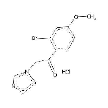 COc1ccc(C(=O)Cn2ccnc2)c(Br)c1.Cl